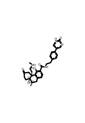 CNCC[C@]12CC(=O)CC[C@@]1(O)[C@H](C)Cc1ccc(C(=O)NCCc3ccc(-c4cnc(=O)[nH]c4)cc3)c(O)c12